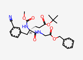 COC(=O)N[C@](CCC(=O)OC(C)(C)C)(Cc1cccc(C#N)c1)C(=O)NCC(=O)OCc1ccccc1